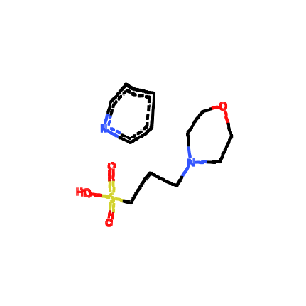 O=S(=O)(O)CCCN1CCOCC1.c1ccncc1